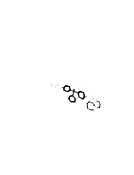 CC(c1ccccc1)(c1ccc(O)cc1)c1ccc(OC2CCCCN3CCCN=C23)cc1